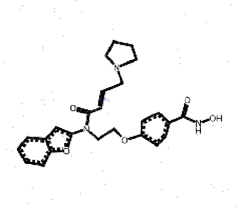 O=C(NO)c1ccc(OCCN(C(=O)/C=C/CN2CCCC2)c2cc3ccccc3o2)cc1